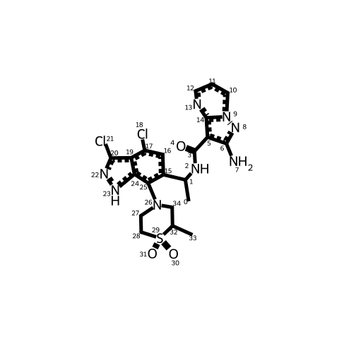 CC(NC(=O)c1c(N)nn2cccnc12)c1cc(Cl)c2c(Cl)n[nH]c2c1N1CCS(=O)(=O)C(C)C1